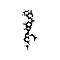 CN1C(c2cc3ccc(OC(F)F)nc3n2CC2CC2)=NC2CC(C(=O)N3CC[C@H]4OCCN[C@H]4C3)=CC(F)=C21